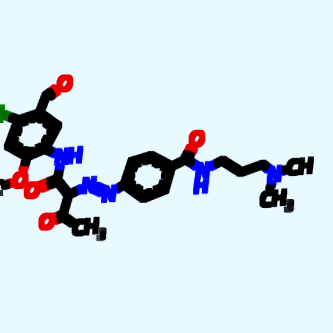 COc1cc(Cl)c(C=O)cc1NC(=O)C(N=Nc1ccc(C(=O)NCCCN(C)C)cc1)C(C)=O